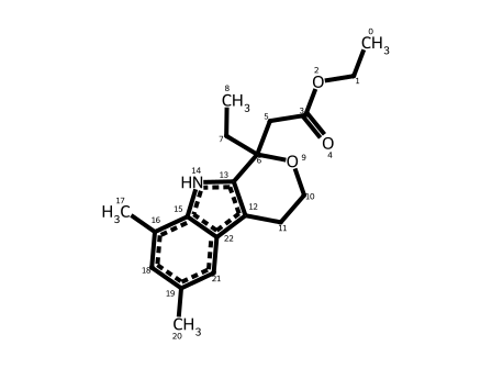 CCOC(=O)CC1(CC)OCCc2c1[nH]c1c(C)cc(C)cc21